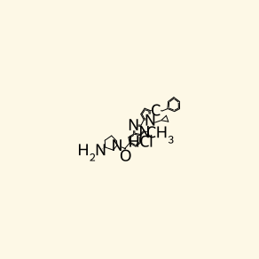 Cl.Cn1c(-c2ccc(CCc3ccccc3)n2CC2CC2)nc2cc(C(=O)N3CCC[C@@H](N)C3)ccc21